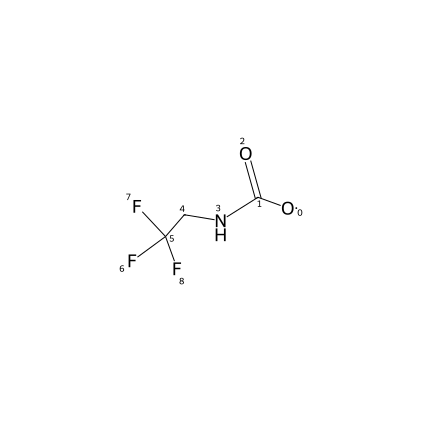 [O]C(=O)NCC(F)(F)F